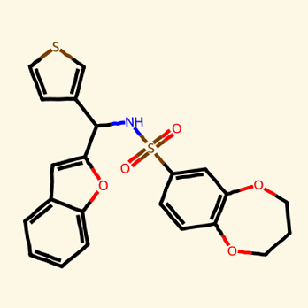 O=S(=O)(NC(c1ccsc1)c1cc2ccccc2o1)c1ccc2c(c1)OCCCO2